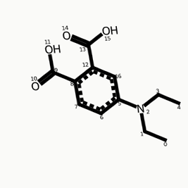 CCN(CC)c1ccc(C(=O)O)c(C(=O)O)c1